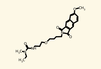 CCN(C)C(=O)NCCCOCCCCN1C(=O)c2cc3ccc(OC)cc3cc2C1=O